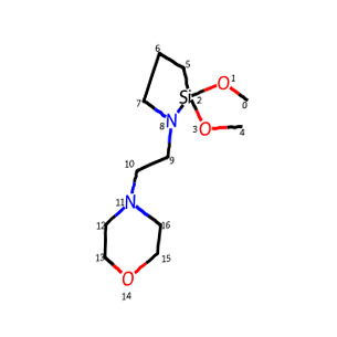 CO[Si]1(OC)CCCN1CCN1CCOCC1